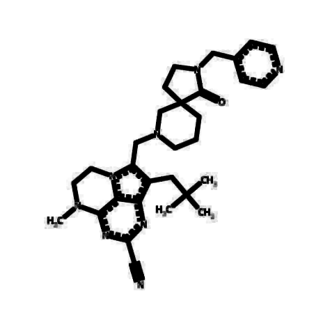 CN1CCn2c(CN3CCCC4(CCN(Cc5ccncc5)C4=O)C3)c(CC(C)(C)C)c3nc(C#N)nc1c32